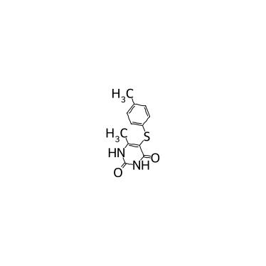 Cc1ccc(Sc2c(C)[nH]c(=O)[nH]c2=O)cc1